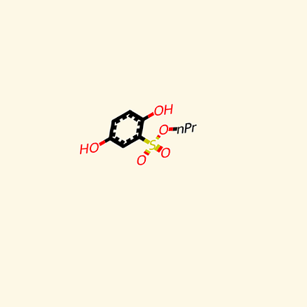 CCCOS(=O)(=O)c1cc(O)ccc1O